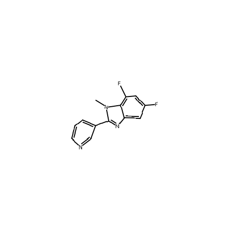 Cn1c(-c2cccnc2)nc2cc(F)cc(F)c21